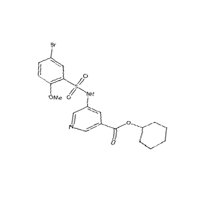 COc1ccc(Br)cc1S(=O)(=O)Nc1cncc(C(=O)OC2CCCCC2)c1